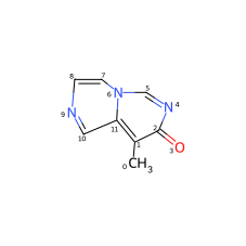 Cc1c(=O)ncn2ccncc12